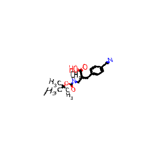 CN(CC(Cc1ccc(C#N)cc1)C(=O)O)C(=O)OC(C)(C)C